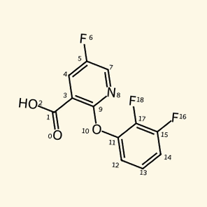 O=C(O)c1cc(F)cnc1Oc1cccc(F)c1F